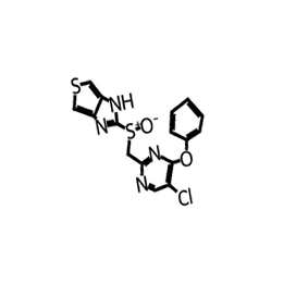 [O-][S+](Cc1ncc(Cl)c(Oc2ccccc2)n1)c1nc2cscc2[nH]1